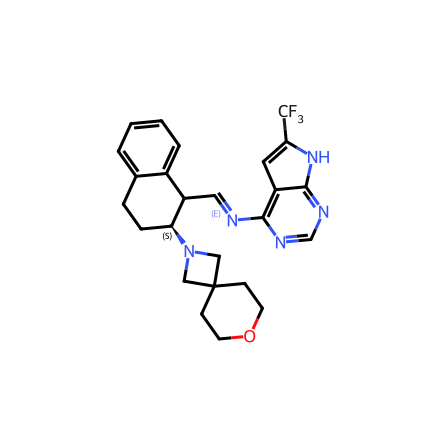 FC(F)(F)c1cc2c(/N=C/C3c4ccccc4CC[C@@H]3N3CC4(CCOCC4)C3)ncnc2[nH]1